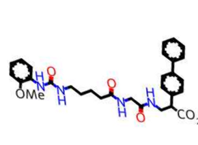 COc1ccccc1NC(=O)NCCCCC(=O)NCC(=O)NCC(C(=O)O)c1ccc(-c2ccccc2)cc1